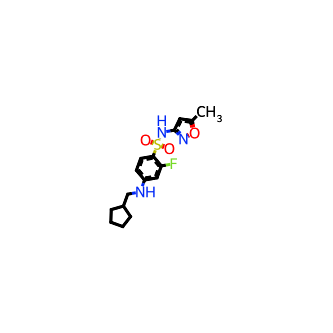 Cc1cc(NS(=O)(=O)c2ccc(NCC3CCCC3)cc2F)no1